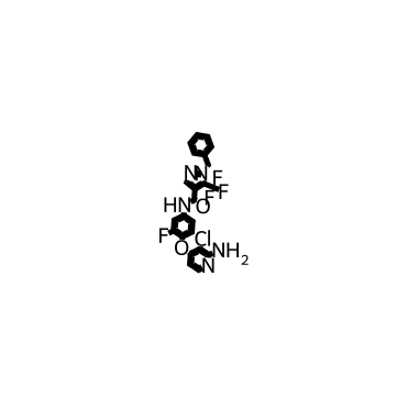 Nc1nccc(Oc2ccc(NC(=O)c3cnn(Cc4ccccc4)c3C(F)(F)F)cc2F)c1Cl